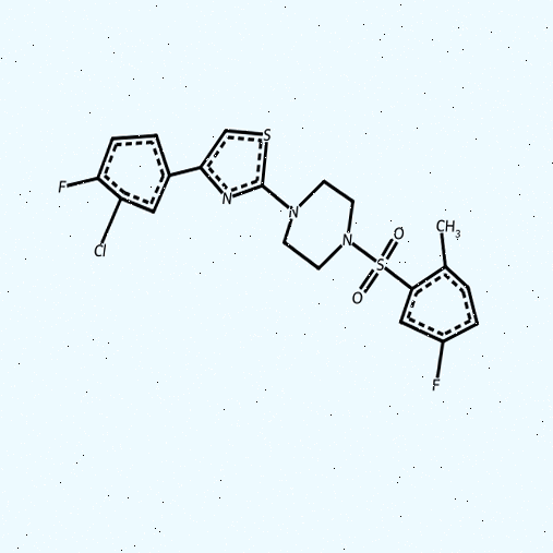 Cc1ccc(F)cc1S(=O)(=O)N1CCN(c2nc(-c3ccc(F)c(Cl)c3)cs2)CC1